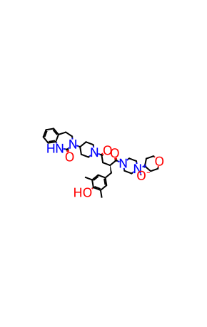 Cc1cc(C[C@@H](CC(=O)N2CCC(N3CCc4ccccc4NC3=O)CC2)C(=O)N2CC[N+]([O-])(C3CCOCC3)CC2)cc(C)c1O